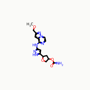 COCc1cc2c(Nc3cc(C4CC(OC(N)=O)CO4)[nH]n3)nccn2n1